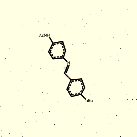 CCCCc1ccc(/C=N/c2ccc(NC(C)=O)cc2)cc1